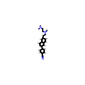 CN(C)CCN(C)CCc1ccc2cc(-c3ccc(C#N)cc3)ccc2c1